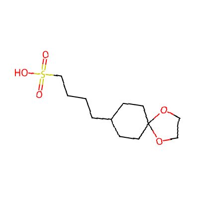 O=S(=O)(O)CCCCC1CCC2(CC1)OCCO2